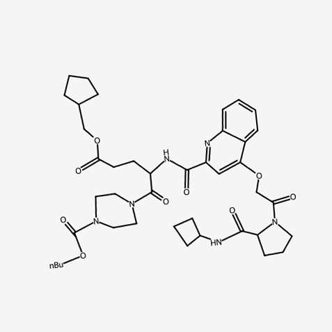 CCCCOC(=O)N1CCN(C(=O)C(CCC(=O)OCC2CCCC2)NC(=O)c2cc(OCC(=O)N3CCCC3C(=O)NC3CCC3)c3ccccc3n2)CC1